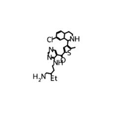 CCC(CN)CCNc1ncncc1C(=O)c1cc(C2NCCC3C=CC(Cl)=CC32)c(C)s1